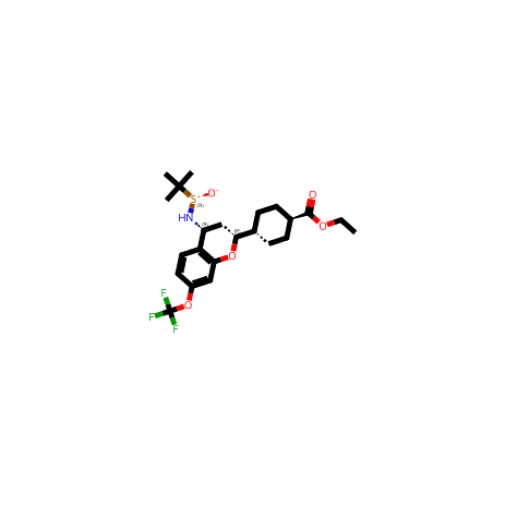 CCOC(=O)[C@H]1CC[C@H]([C@H]2C[C@@H](N[S@@+]([O-])C(C)(C)C)c3ccc(OC(F)(F)F)cc3O2)CC1